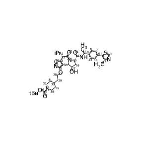 Cc1ncsc1-c1ccc([C@H](C)NC(=O)[C@@H]2C[C@@H](O)CN2C(=O)[C@H](c2cc(OCCC3CCN(C(=O)OC(C)(C)C)CC3)no2)C(C)C)cc1